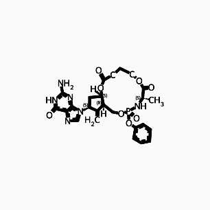 C=C1[C@@H]2COP(=O)(Oc3ccccc3)N[C@@H](C)C(=O)OCCCC(=O)O[C@H]2C[C@@H]1n1cnc2c(=O)[nH]c(N)nc21